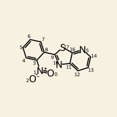 O=[N+]([O-])c1ccccc1-c1nc2cccnc2s1